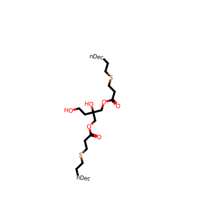 CCCCCCCCCCCCSCCC(=O)OCC(O)(CCO)COC(=O)CCSCCCCCCCCCCCC